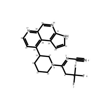 N#CN=C(CC(F)(F)F)N1CCCC(c2ccnc3cnc4[nH]ccc4c23)C1